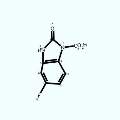 O=C(O)n1c(=O)[nH]c2cc(F)ccc21